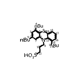 CCCCc1cc(CCCC)c2c(c1)N(CCCS(=O)(=O)O)c1c(CCCC)cccc1S2